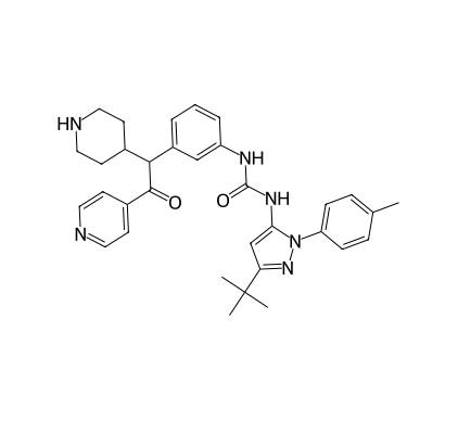 Cc1ccc(-n2nc(C(C)(C)C)cc2NC(=O)Nc2cccc(C(C(=O)c3ccncc3)C3CCNCC3)c2)cc1